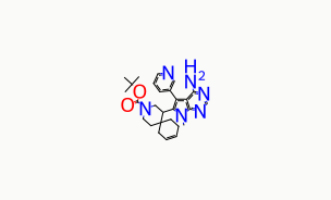 Cn1c(C2CN(C(=O)OC(C)(C)C)CCC23CC=CCC3)c(-c2cccnc2)c2c(N)ncnc21